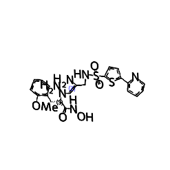 COc1ccccc1C[C@@H](C(=O)NO)N(N)/C=C(\N)CNS(=O)(=O)c1ccc(-c2ccccn2)s1